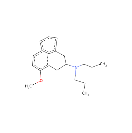 CCCN(CCC)C1Cc2cccc3ccc(OC)c(c23)C1